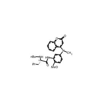 CCCCN[C@@H](CC(C)C)C(=O)Nc1cc(N(C)c2cc(=O)oc3ccccc23)ccc1OC